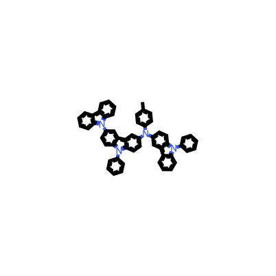 Cc1ccc(N(c2ccc3c(c2)c2ccccc2n3-c2ccccc2)c2ccc3c(c2)c2cc(-n4c5ccccc5c5ccccc54)ccc2n3-c2ccccc2)cc1